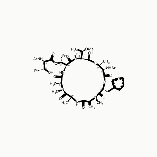 C=C1C(=O)N[C@@H](C)C(=O)N(C)[C@@H](C)C(=O)N[C@@H]([C@H](OC(=O)[C@@H](NC(C)=O)[C@H](O)C(C)C)C(C)C)C(=O)N(C)[C@@H]([C@@H](C)OC)C(O)O[C@H](C)[C@H](NC(C)=O)C(=O)O[C@H](Cc2ccccc2)C(=O)N1C